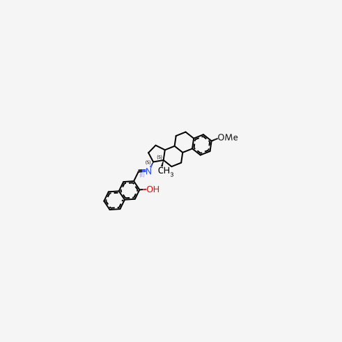 COc1ccc2c(c1)CCC1C2CC[C@@]2(C)C1CC[C@@H]2/N=C/c1cc2ccccc2cc1O